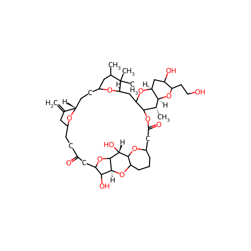 C=C1CC2CCC(=O)CC3OC4[C@H](O)C5OC(CCCC5O[C@H]4C3O)CC(=O)OC3C(C[C@H]4OC(CC[C@@H]1O2)CC(C)C4(C)C)O[C@H]1CC(O)C(CCO)O[C@H]1[C@@H]3C